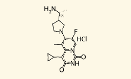 Cc1c(N2CCC([C@@H](C)N)C2)c(F)cn2c(=O)[nH]c(=O)c(C3CC3)c12.Cl